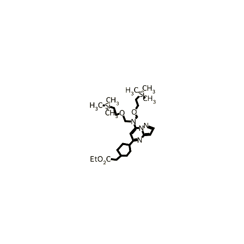 CCOC(=O)CC1CCC(c2cc(N(COCC[Si](C)(C)C)COCC[Si](C)(C)C)n3nccc3n2)CC1